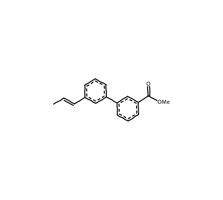 CC=Cc1cccc(-c2cccc(C(=O)OC)c2)c1